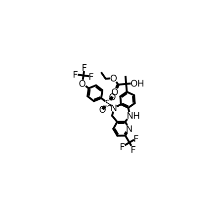 CCOC(=O)C(C)(O)c1ccc2c(c1)N(S(=O)(=O)c1ccc(OC(F)(F)F)cc1)Cc1ccc(C(F)(F)F)nc1N2